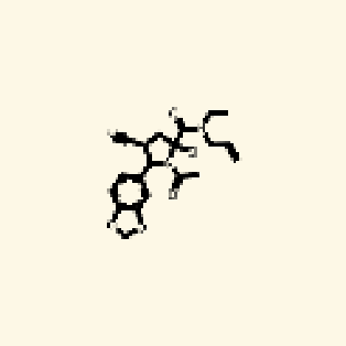 C=CCN(CC)C(=O)C1(S)CC(C#N)C(c2ccc3c(c2)OCO3)N1C(C)=O